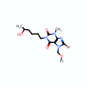 CCOCn1c(Br)nc2c1c(=O)n(CCCCC(C)O)c(=O)n2C